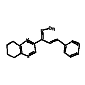 ON=C(/C=C/c1ccccc1)c1cnc2c(n1)CCCC2